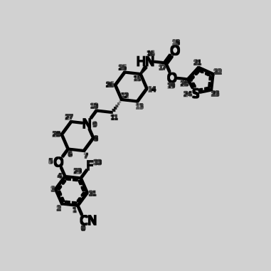 N#Cc1ccc(OC2CCN(CC[C@H]3CC[C@H](NC(=O)Oc4cccs4)CC3)CC2)c(F)c1